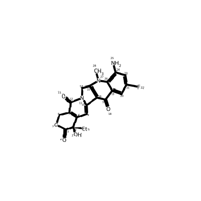 CC[C@@]1(O)C(=O)OCc2c1cc1n(c2=O)Cc2c-1c(=O)c1cc(F)cc(N)c1n2C